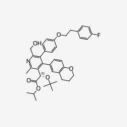 Cc1nc(CO)c(-c2ccc(OCCc3ccc(F)cc3)cc2)c(-c2ccc3c(c2)CCCO3)c1[C@H](OC(C)(C)C)C(=O)OC(C)C